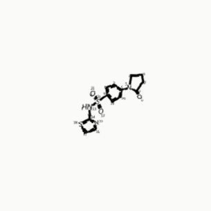 O=C1[CH]CCN1c1ccc(S(=O)(=O)Nc2nccs2)cc1